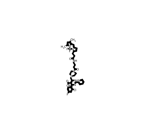 COC(=O)C1=C(CN2CCN(C(=O)CCCNC(=O)CCC3=[N+]4C(=Cc5c(C)cc(C)n5[B-]4(F)F)C=C3)CC2)NC(c2ccccn2)=NC1c1ccc(F)cc1Cl